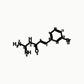 N=C(N)NC(=O)C=Cc1cccc(Br)c1